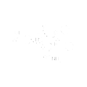 C[C@]1(COC(N)=O)[C@H](C(=O)OC(c2ccccc2)c2ccccc2)N2C(=O)/C(=C/c3cc(C(=O)O)ccn3)[C@H]2S1(=O)=O